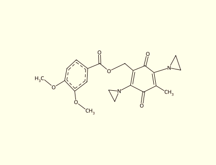 COc1ccc(C(=O)OCC2=C(N3CC3)C(=O)C(C)=C(N3CC3)C2=O)cc1OC